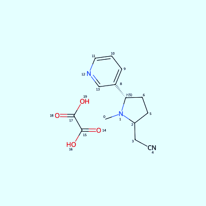 CN1C(CC#N)CC[C@H]1c1cccnc1.O=C(O)C(=O)O